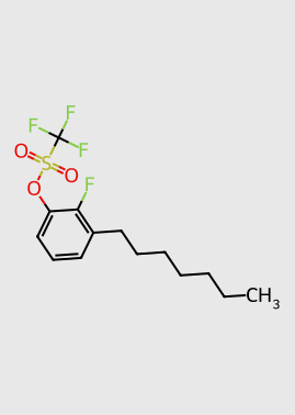 CCCCCCCc1cccc(OS(=O)(=O)C(F)(F)F)c1F